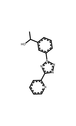 CC(O)c1cccc(-n2nnc(-c3ccccn3)n2)c1